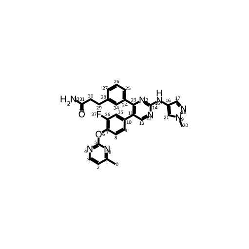 Cc1ccnc(Oc2ccc(-c3cnc(Nc4cnn(C)c4)nc3-c3cccc(CCC(N)=O)c3)cc2F)n1